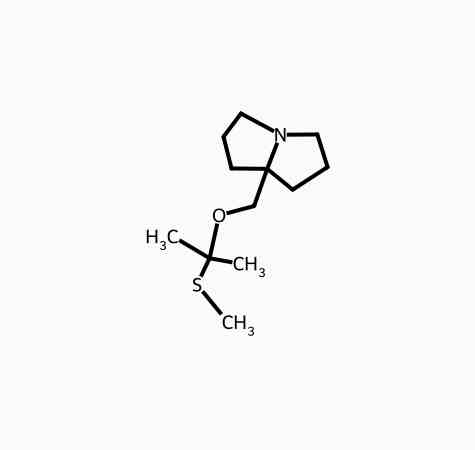 CSC(C)(C)OCC12CCCN1CCC2